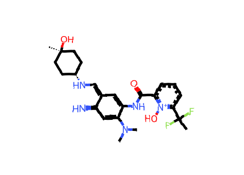 CN(C)C1=CC(=N)/C(=C\N[C@H]2CC[C@](C)(O)CC2)C=C1NC(=O)c1cccc(C(C)(F)F)[n+]1O